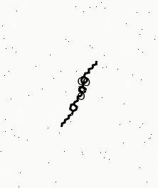 CCCCCCCC1CCC(CCCOc2ccc(C3OCC(CCCCCCC)CO3)cc2)CC1